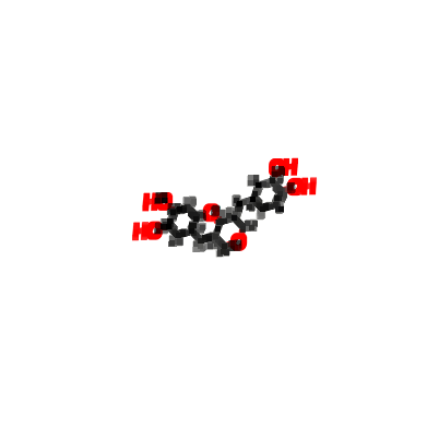 O=C1C(=Cc2ccc(O)c(O)c2)COCC1=Cc1ccc(O)c(O)c1